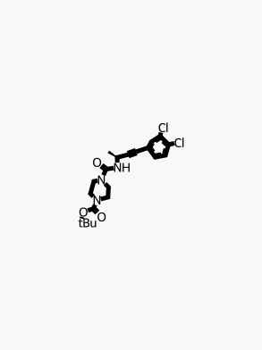 C[C@@H](C#Cc1ccc(Cl)c(Cl)c1)NC(=O)N1CCN(C(=O)OC(C)(C)C)CC1